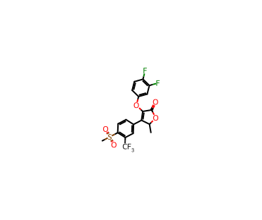 CC1OC(=O)C(Oc2ccc(F)c(F)c2)=C1c1ccc(S(C)(=O)=O)c(C(F)(F)F)c1